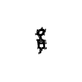 CN1CC2CN(c3cncnc3)CC(C1)O2